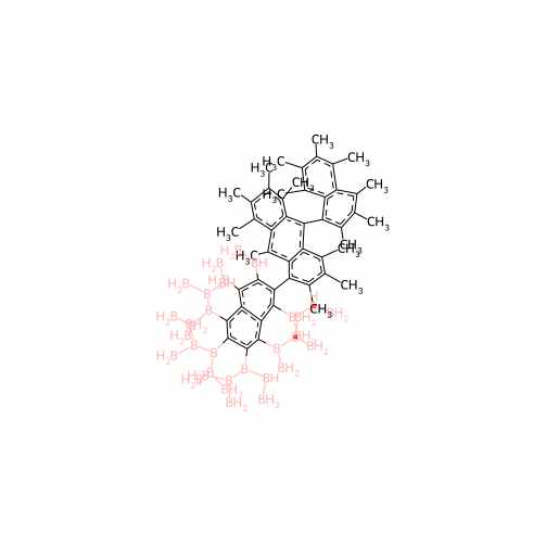 BBB(B)B(B(B)B)c1c(B(B(B)B)B(B)B)c(B(BB)B(B)B)c(B(B)B(B)B)c2c(B(B)BB)c(-c3c(C)c(C)c(C)c4c(-c5c(C)c(C)c(C)c6c(C)c(C)c(C)c(C)c56)c5c(C)c(C)c(C)c(C)c5c(C)c34)c(BB)c(B)c12